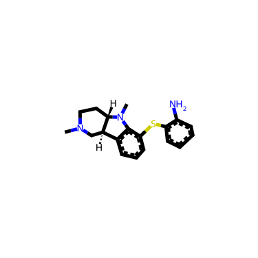 CN1CC[C@H]2[C@H](C1)c1cccc(Sc3ccccc3N)c1N2C